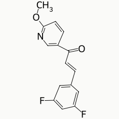 COc1ccc(C(=O)C=Cc2cc(F)cc(F)c2)cn1